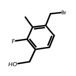 Cc1c(CBr)ccc(CO)c1F